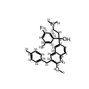 COc1nc2ccc(C(O)(CCN(C)C)c3cc(F)cc(F)c3)cc2cc1Cc1ccc(C)cc1